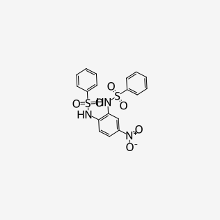 O=[N+]([O-])c1ccc(NS(=O)(=O)c2ccccc2)c(NS(=O)(=O)c2ccccc2)c1